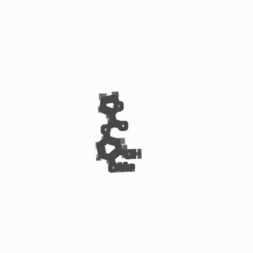 COc1ccc(OC(=O)c2ccco2)cc1O